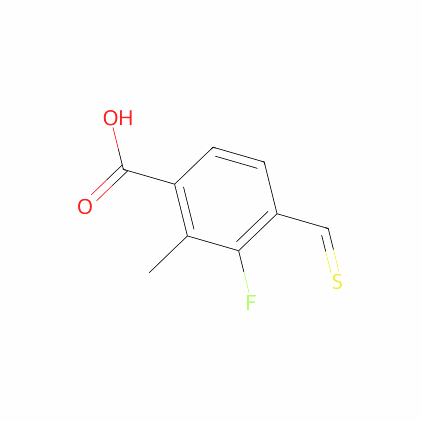 Cc1c(C(=O)O)ccc(C=S)c1F